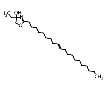 CCCCCCCCCCC=CCCCCCCCCC1=NC(O)(CC)CO1